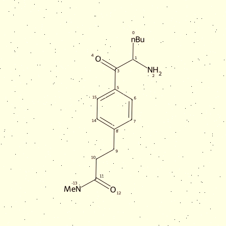 CCCCC(N)C(=O)c1ccc(CCC(=O)NC)cc1